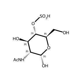 CC(=O)N[C@@H]1[C@@H](O)[C@H](OS(=O)(=O)O)[C@@H](CO)O[C@@H]1O